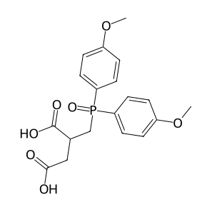 COc1ccc(P(=O)(CC(CC(=O)O)C(=O)O)c2ccc(OC)cc2)cc1